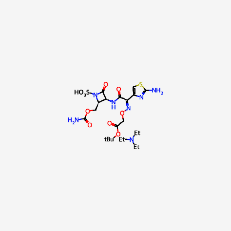 CC(C)(C)OC(=O)CON=C(C(=O)N[C@@H]1C(=O)N(S(=O)(=O)O)[C@@H]1COC(N)=O)c1csc(N)n1.CCN(CC)CC